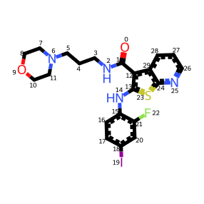 O=C(NCCCN1CCOCC1)c1c(Nc2ccc(I)cc2F)sc2ncccc12